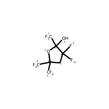 OC1(C(F)(F)F)OC(C(F)(F)F)(C(F)(F)F)CC1(F)F